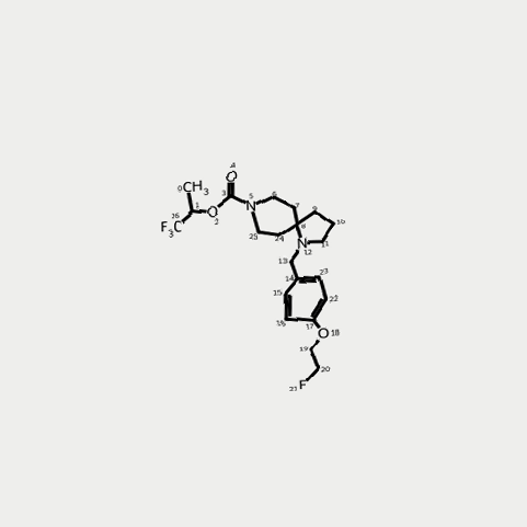 CC(OC(=O)N1CCC2(CCCN2Cc2ccc(OCCF)cc2)CC1)C(F)(F)F